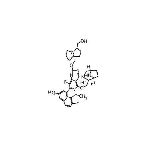 CCc1c(F)ccc2cc(O)cc(-c3nc4c5c(nc(OC[C@]67CCCN6[C@@H](CO)CC7)nc5c3F)N3C[C@H]5CC[C@H](N5)[C@H]3CO4)c12